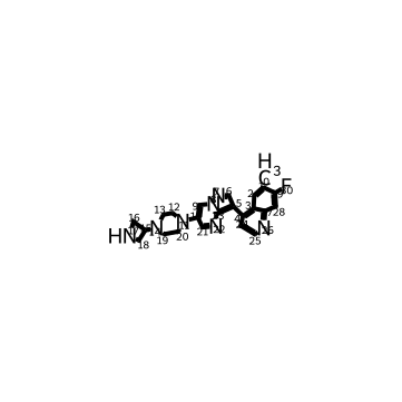 Cc1cc2c(-c3cnn4cc(N5CCN(C6CNC6)CC5)cnc34)ccnc2cc1F